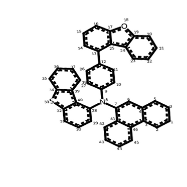 c1ccc2c(c1)cc(N(c1ccc(-c3cccc4oc5ccccc5c34)cc1)c1cccc3sc4ccccc4c13)c1ccccc12